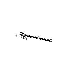 CC(C)(C)OC(=O)CCCCCCCCOCCCCCCC=O